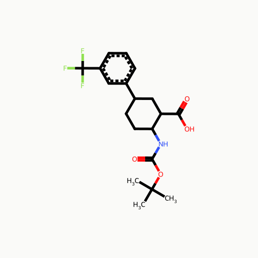 CC(C)(C)OC(=O)NC1CCC(c2cccc(C(F)(F)F)c2)CC1C(=O)O